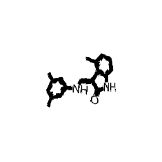 Cc1cc(C)cc(NC=C2C(=O)Nc3cccc(C)c32)c1